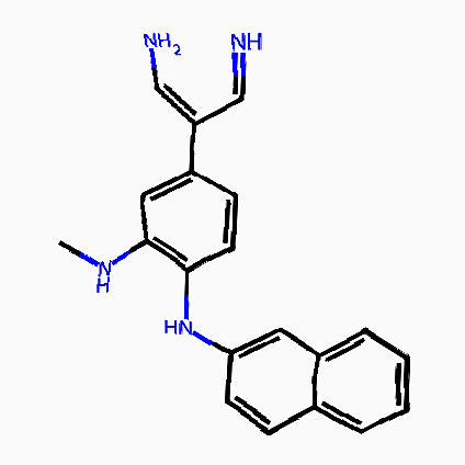 CNc1cc(/C(C=N)=C/N)ccc1Nc1ccc2ccccc2c1